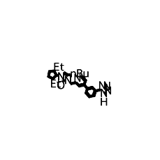 CCCCc1cn(C2C(CC)CCC2CC)c(=O)n1Cc1cc(-c2cccc(-c3nnn[nH]3)c2)ccn1